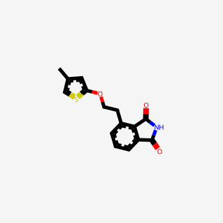 Cc1csc(OCCc2cccc3c2C(=O)NC3=O)c1